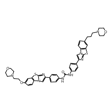 O=C(Nc1ccc(-c2cn3c(n2)sc2cc(CCCN4CCOCC4)ccc23)cc1)Nc1ccc(-c2cn3c(n2)sc2cc(OCCN4CCOCC4)ccc23)cc1